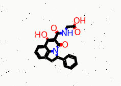 O=C(O)CNC(=O)c1c(O)c2cccc3c2n(c1=O)C(c1ccccc1)C3